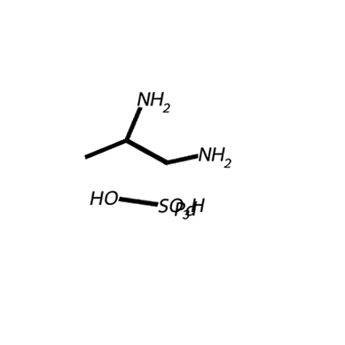 CC(N)CN.O=S(=O)(O)O.[Pd]